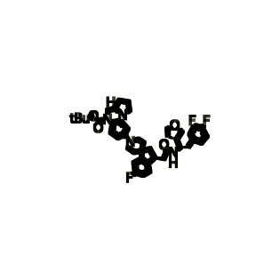 CC(C)(C)OC(=O)N1C[C@@H]2CCCN2c2cc(N3CCC4(CC3)C[C@@H](CC(=O)N[C@@H](Cc3ccc(F)c(F)c3)[C@@H]3CCOC3)c3ccc(F)cc34)ccc21